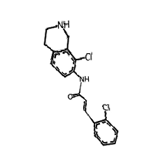 O=C(C=Cc1ccccc1Cl)Nc1ccc2c(c1Cl)CNCC2